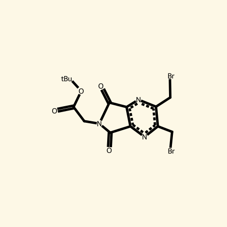 CC(C)(C)OC(=O)CN1C(=O)c2nc(CBr)c(CBr)nc2C1=O